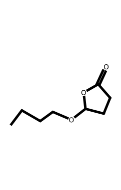 CCCCOC1CCC(=O)O1